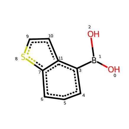 OB(O)c1cccc2sccc12